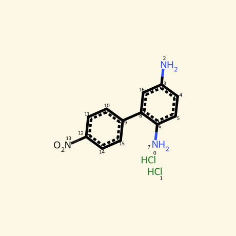 Cl.Cl.Nc1ccc(N)c(-c2ccc([N+](=O)[O-])cc2)c1